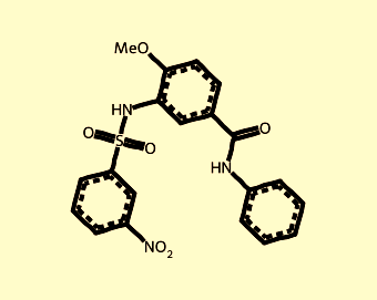 COc1ccc(C(=O)Nc2ccccc2)cc1NS(=O)(=O)c1cccc([N+](=O)[O-])c1